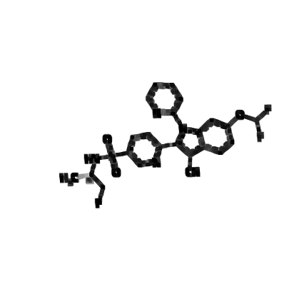 C[C@@H](CF)NS(=O)(=O)c1ccc(-c2c(C#N)c3ccc(OC(F)F)cc3n2-c2ccccn2)nc1